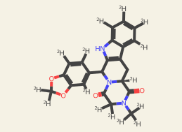 [2H]c1c([2H])c(C2c3[nH]c4c([2H])c([2H])c([2H])c([2H])c4c3C[C@]3([2H])C(=O)N(C([2H])([2H])[2H])C([2H])([2H])C(=O)N23)c([2H])c2c1OC([2H])([2H])O2